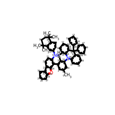 Cc1cc(-c2c(Nc3ccc4c(c3)C(C)(C)CCC4(C)C)ccc3c2oc2ccccc23)c2c(c1)N1c3ccccc3C(c3ccccc3)(c3ccccc3)c3cccc(c31)B2